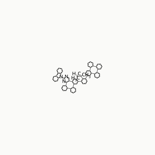 CC(C)(C)c1c(-c2ccc3c(c2)-c2ccccc2-c2ccccc2-c2ccccc2-3)cccc1-c1ccc2c(c1)-c1ccccc1-c1ccccc1-c1nc(-n3c4ccccc4c4ccccc43)ncc1-2